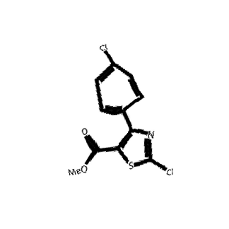 COC(=O)c1sc(Cl)nc1-c1ccc(Cl)cc1